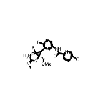 C/N=C(/N)S[C@]1(COC)C(c2cc(NC(=O)c3ccc(Cl)cn3)ccc2F)C1(F)F